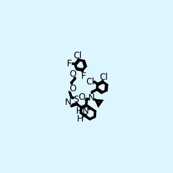 O=C(C1=C(c2cnc(COCCOc3c(F)ccc(Cl)c3F)s2)C[C@@H]2CCCC1N2)N(Cc1cccc(Cl)c1Cl)C1CC1